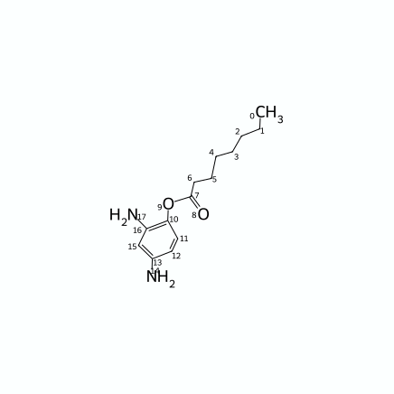 CCCCCCCC(=O)Oc1ccc(N)cc1N